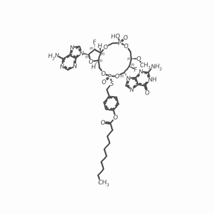 CCCCCCCCCC(=O)Oc1ccc(CSP2(=O)OC[C@H]3O[C@@H](n4cnc5c(N)ncnc54)[C@H](F)[C@@H]3OCP(=O)(O)OC[C@@H](OC)[C@@H](F)[C@H](n3cnc4c(=O)[nH]c(N)nc43)O2)cc1